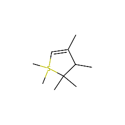 CC1=CS(C)(C)C(C)(C)C1C